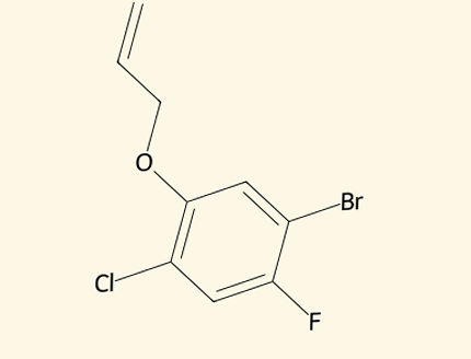 C=CCOc1cc(Br)c(F)cc1Cl